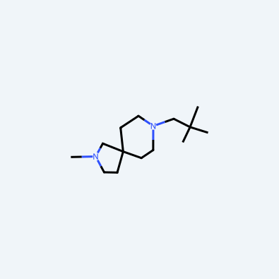 CN1CCC2(CCN(CC(C)(C)C)CC2)C1